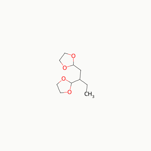 CCC(CC1OCCO1)C1OCCO1